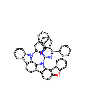 c1ccc(-c2nc(-n3c4c(ccc5oc6ccccc6c54)c4ccc5c6ccccc6n(-c6ccc7ccccc7c6)c5c43)nc3ccccc23)cc1